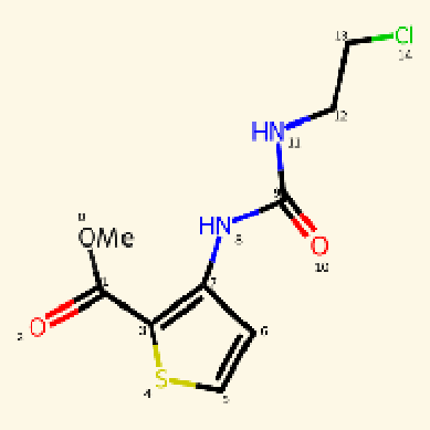 COC(=O)c1sccc1NC(=O)NCCCl